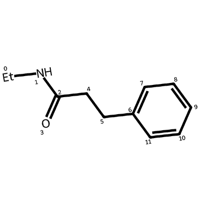 [CH2]CNC(=O)CCc1ccccc1